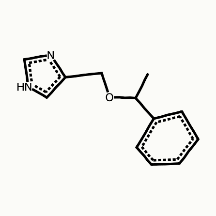 CC(OCc1c[nH]cn1)c1ccccc1